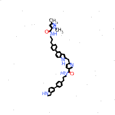 Cc1cc(C(=O)NCCCc2ccc(-c3ccc4[nH]c(Cc5ccc(C(=O)NCCCc6ccc(-c7ccc8[nH]ccc8c7)cc6)cn5)cc4c3)cc2)n(C)n1